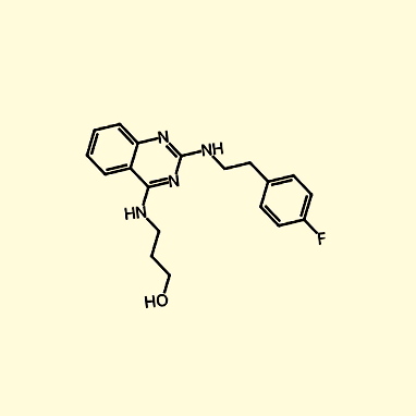 OCCCNc1nc(NCCc2ccc(F)cc2)nc2ccccc12